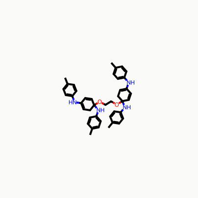 Cc1ccc(NC2=CCC(Nc3ccc(C)cc3)(OCCOC3(Nc4ccc(C)cc4)C=CC(Nc4ccc(C)cc4)=CC3)C=C2)cc1